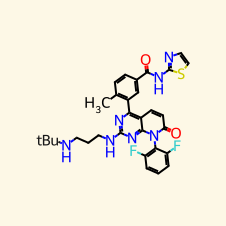 Cc1ccc(C(=O)Nc2nccs2)cc1-c1nc(NCCCNC(C)(C)C)nc2c1ccc(=O)n2-c1c(F)cccc1F